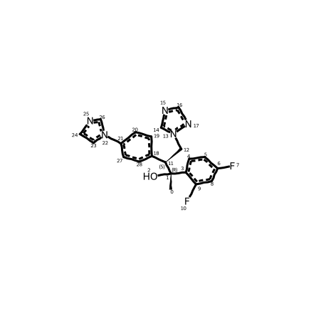 C[C@](O)(c1ccc(F)cc1F)[C@H](Cn1cncn1)c1ccc(-n2ccnc2)cc1